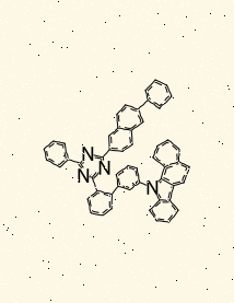 c1ccc(-c2ccc3cc(-c4nc(-c5ccccc5)nc(-c5ccccc5-c5cccc(-n6c7ccccc7c7ccc8ccccc8c76)c5)n4)ccc3c2)cc1